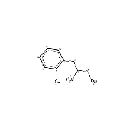 NC(CO)Cc1ccccc1.[Cu]